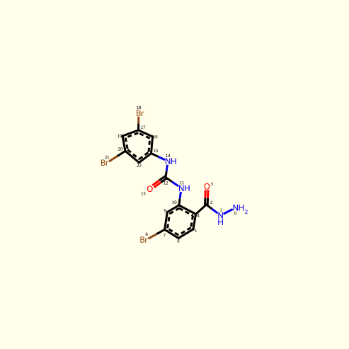 NNC(=O)c1ccc(Br)cc1NC(=O)Nc1cc(Br)cc(Br)c1